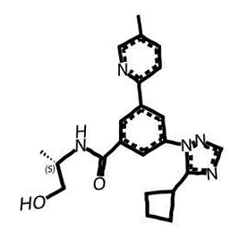 Cc1ccc(-c2cc(C(=O)N[C@@H](C)CO)cc(-n3ncnc3C3CCC3)c2)nc1